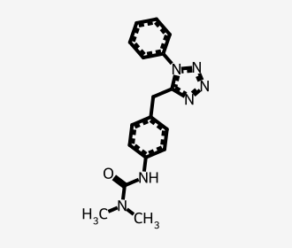 CN(C)C(=O)Nc1ccc(Cc2nnnn2-c2ccccc2)cc1